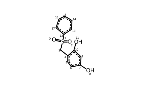 O=S(=O)(Cc1ccc(O)cc1O)c1ccccc1